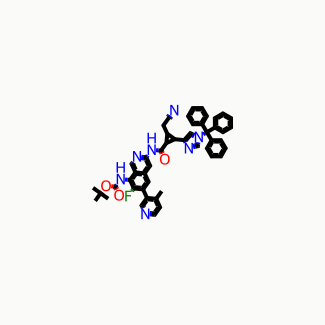 Cc1ccncc1-c1cc2cc(NC(=O)C3C(CC#N)C3c3cn(C(c4ccccc4)(c4ccccc4)c4ccccc4)cn3)ncc2c(NC(=O)OC(C)(C)C)c1F